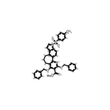 COC(=O)c1c(OCc2ccccc2)nc2c(c1OCc1ccccc1)CCCc1c-2ccc2c1ccn2S(=O)(=O)c1ccc(C)cc1